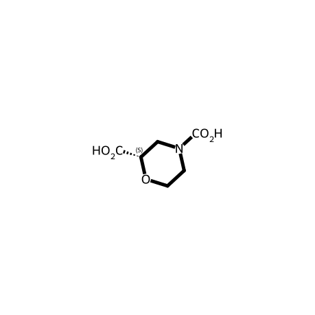 O=C(O)[C@@H]1CN(C(=O)O)CCO1